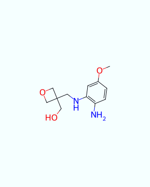 COc1ccc(N)c(NCC2(CO)COC2)c1